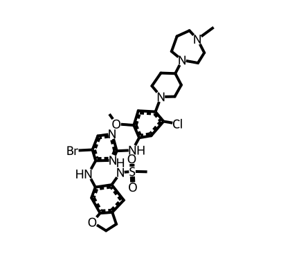 COc1cc(N2CCC(N3CCCN(C)CC3)CC2)c(Cl)cc1Nc1ncc(Br)c(Nc2cc3c(cc2NS(C)(=O)=O)CCO3)n1